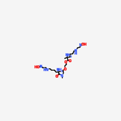 CN(CCOCCOC(=O)C(C)(N)CCCCNCC=NO)C(=O)C(C)(N)CCCCNCC=NO